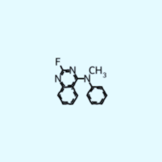 CN(c1ccccc1)c1nc(F)nc2ccccc12